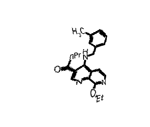 CCCC(=O)c1cnc2c(OCC)nccc2c1NCc1cccc(C)c1